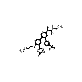 CCNC(=O)Nc1cc(-c2nc(C(F)(F)F)cs2)c(-c2cnc(OCCOC)c(-c3n[nH]c(=O)o3)c2)cn1